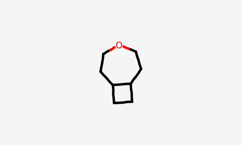 C1CC2CCC2CCO1